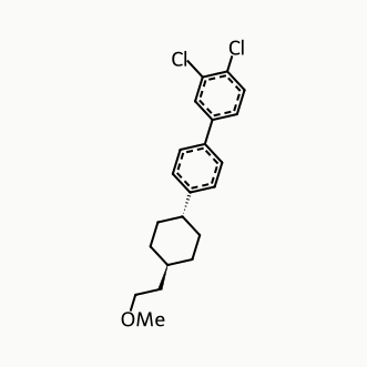 COCC[C@H]1CC[C@H](c2ccc(-c3ccc(Cl)c(Cl)c3)cc2)CC1